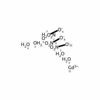 O.O.O.O.O.O=[N+]([O-])[O-].O=[N+]([O-])[O-].O=[N+]([O-])[O-].[Gd+3]